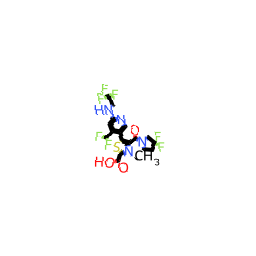 CC1CC(F)(F)CN1C(=O)c1nc(C(=O)O)sc1-c1cnc(NCC(F)(F)F)cc1C(F)F